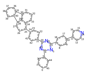 c1ccc(-c2nc(-c3ccc(-c4ccncc4)cc3)nc(-c3ccc(-c4ccc5c6c(cccc46)-c4ccccc4-5)cc3)n2)cc1